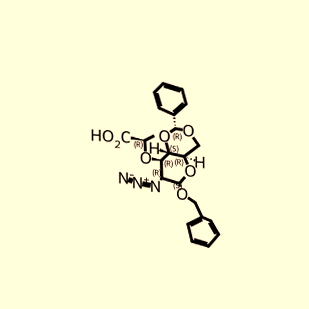 C[C@@H](O[C@@H]1[C@@H](N=[N+]=[N-])[C@@H](OCc2ccccc2)O[C@@H]2CO[C@@H](c3ccccc3)O[C@@H]12)C(=O)O